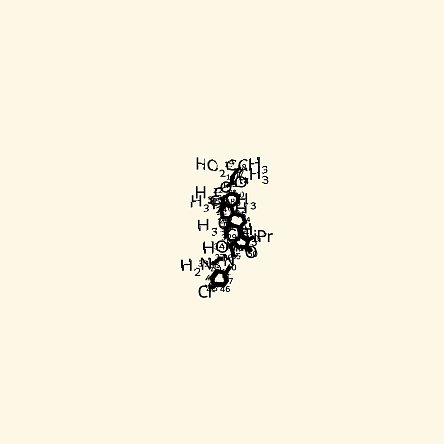 CC(C)C1=C2[C@H]3CC[C@@H]4[C@@]5(C)CC[C@H](OC(=O)CC(C)(C)C(=O)O)C(C)(C)[C@@H]5CC[C@@]4(C)[C@]3(C)CC[C@@]2([C@H](O)CN(CCN)Cc2ccc(Cl)cc2)CC1=O